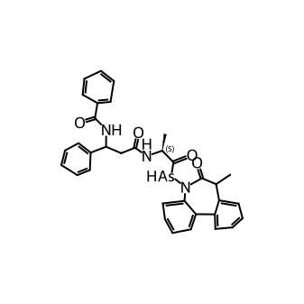 CC1C(=O)N([AsH]C(=O)[C@H](C)NC(=O)CC(NC(=O)c2ccccc2)c2ccccc2)c2ccccc2-c2ccccc21